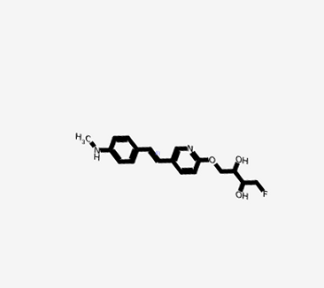 CNc1ccc(/C=C/c2ccc(OCC(O)C(O)CF)nc2)cc1